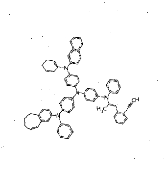 C#Cc1ccccc1/C=C(\C)N(c1ccccc1)c1ccc(N(c2ccc(N(C3=CCCC=C3)c3ccc4ccccc4c3)cc2)c2ccc(N(c3ccccc3)c3ccc4c(c3)C=CCCC4)cc2)cc1